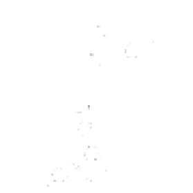 CC(=O)N1c2ccc(-c3ccc(C(=O)NCCCCCNC(=O)C4CC(c5cccc(C)c5)CN(C(=O)OC(C)(C)C)C4)cc3)cc2[C@H](Nc2ccc(Cl)cc2)C[C@@H]1C